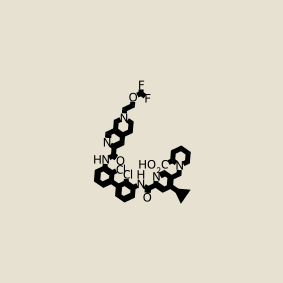 O=C(Nc1cccc(-c2cccc(NC(=O)c3cc(C4CC4)c(CN4CCCCC4C(=O)O)cn3)c2Cl)c1Cl)c1cc2c(cn1)CN(CCOC(F)F)CC2